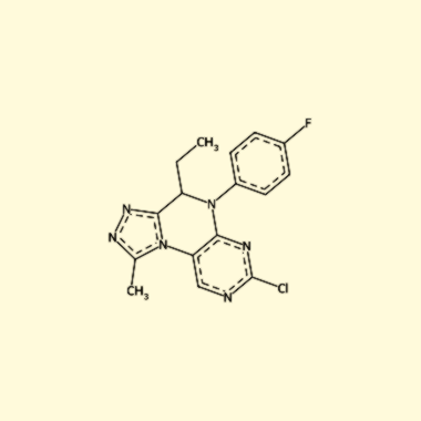 CCC1c2nnc(C)n2-c2cnc(Cl)nc2N1c1ccc(F)cc1